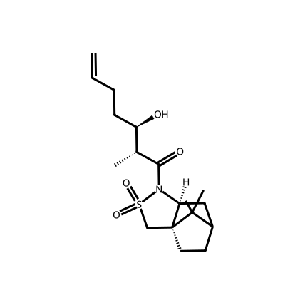 C=CCC[C@@H](O)[C@@H](C)C(=O)N1[C@H]2CC3CC[C@@]2(CS1(=O)=O)C3(C)C